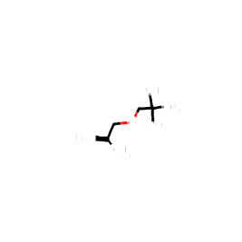 C=C(C)COCC(C)(C)C